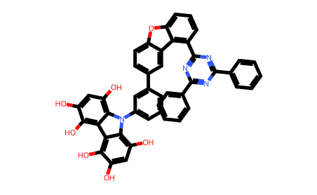 Oc1cc(O)c2c(c1O)c1c(O)c(O)cc(O)c1n2-c1cccc(-c2ccc3oc4cccc(-c5nc(-c6ccccc6)nc(-c6ccccc6)n5)c4c3c2)c1